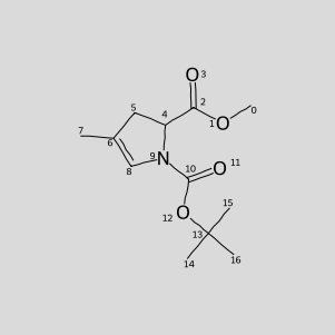 COC(=O)C1CC(C)=CN1C(=O)OC(C)(C)C